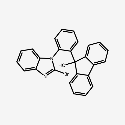 OC1(c2ccccc2-n2c(Br)nc3ccccc32)c2ccccc2-c2ccccc21